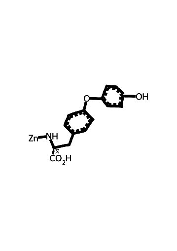 O=C(O)[C@H](Cc1ccc(Oc2ccc(O)cc2)cc1)[NH][Zn]